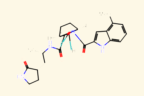 COc1cccc2[nH]c(C(=O)N3[C@@H]4CC[C@H]([C@@H]3C(=O)N[C@@H](C#N)C[C@@H]3CCNC3=O)C(F)(F)C4)cc12